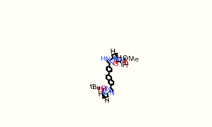 COC(=O)N[C@H](C(=O)N1C(c2nc(-c3ccc(-c4ccc5cc(-c6cnc([C@@H]7C[C@H]8C[C@H]8N7C(=O)OC(C)(C)C)[nH]6)ccc5c4)cc3)c[nH]2)C[C@H]2C[C@H]21)C(C)C